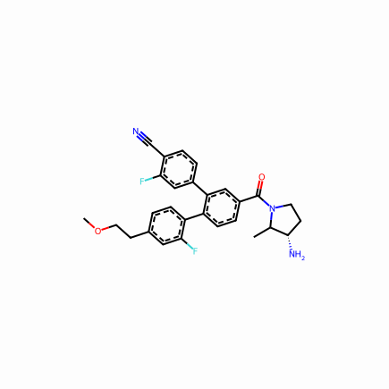 COCCc1ccc(-c2ccc(C(=O)N3CC[C@H](N)C3C)cc2-c2ccc(C#N)c(F)c2)c(F)c1